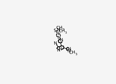 CN(C)C(=S)N1CCN(c2ccc(-c3cc(-c4cnn(C)c4)cn4ncc(C#N)c34)cn2)CC1